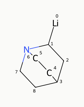 [Li][CH]1CC2CCN1CC2